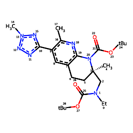 CCN(C[C@@]1(C)CCc2cc(-c3nnn(C)n3)c(C)nc2N1C(=O)OC(C)(C)C)C(=O)OC(C)(C)C